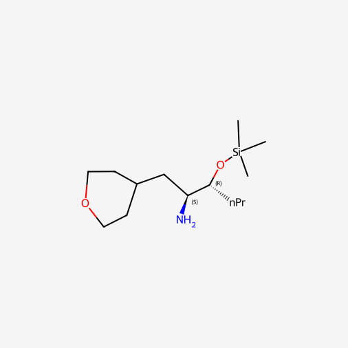 CCC[C@@H](O[Si](C)(C)C)[C@@H](N)CC1CCOCC1